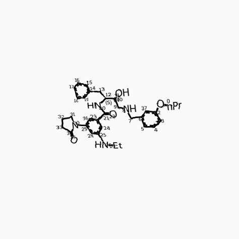 CCCOc1cccc(CNC[C@H](O)[C@H](Cc2ccccc2)NC(=O)c2cc(NCC)cc(N3CCCC3=O)c2)c1